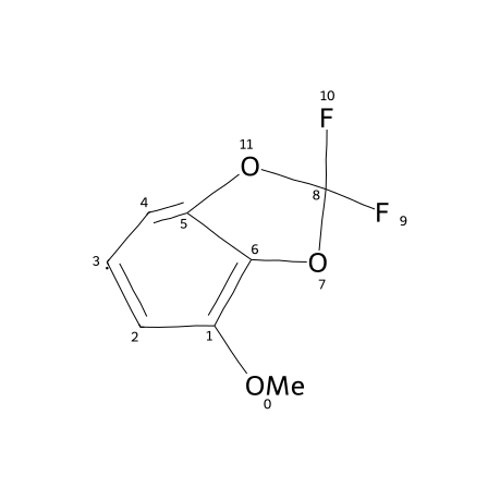 COc1c[c]cc2c1OC(F)(F)O2